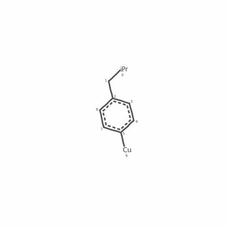 CC(C)Cc1cc[c]([Cu])cc1